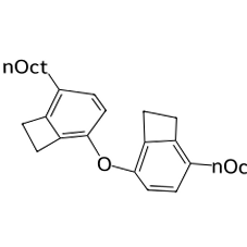 CCCCCCCCc1ccc(Oc2ccc(CCCCCCCC)c3c2CC3)c2c1CC2